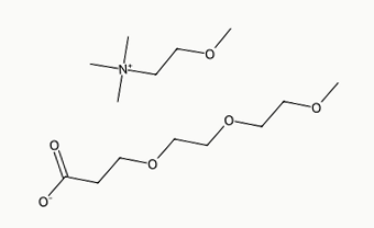 COCCOCCOCCC(=O)[O-].COCC[N+](C)(C)C